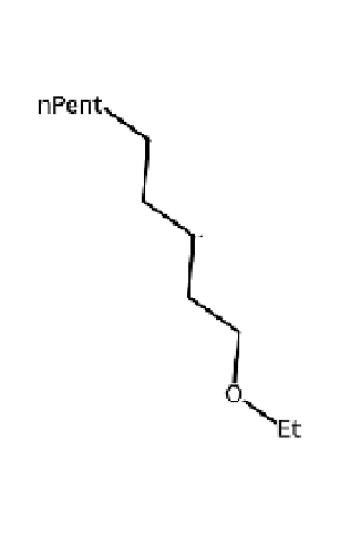 CCCCCCC[CH]CCOCC